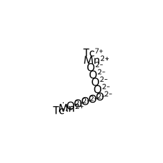 [Mn+2].[Mn+2].[O-2].[O-2].[O-2].[O-2].[O-2].[O-2].[O-2].[O-2].[O-2].[Tc+7].[Tc+7]